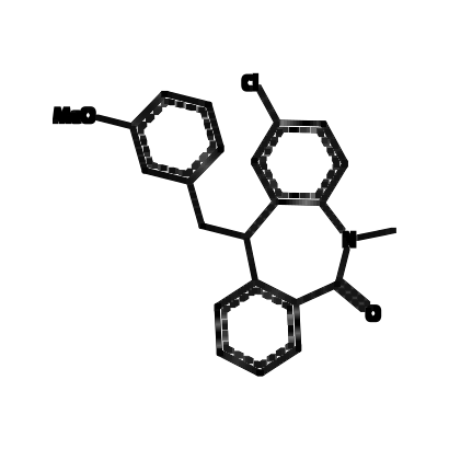 COc1cccc(CC2c3ccccc3C(=O)N(C)c3ccc(Cl)cc32)c1